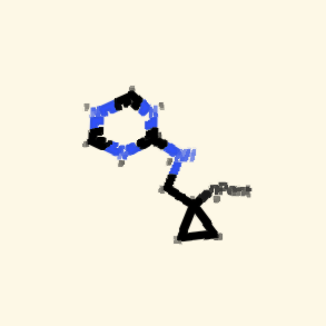 CCCCCC1(CNc2ncncn2)CC1